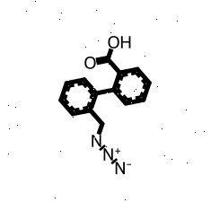 [N-]=[N+]=NCc1ccccc1-c1ccccc1C(=O)O